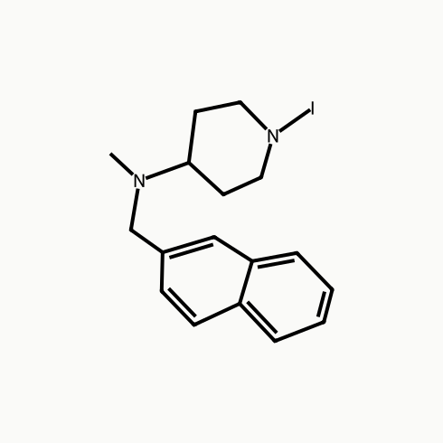 CN(Cc1ccc2ccccc2c1)C1CCN(I)CC1